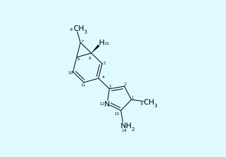 CC1C=C(C2=C[C@H]3C(C)C3C=C2)N=C1N